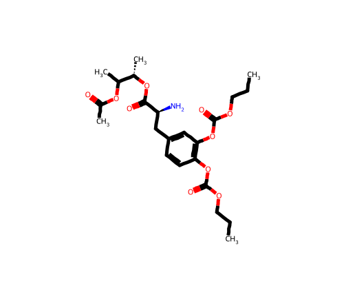 CCCOC(=O)Oc1ccc(C[C@H](N)C(=O)O[C@@H](C)C(C)OC(C)=O)cc1OC(=O)OCCC